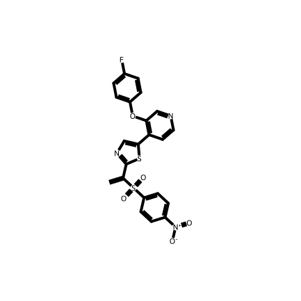 C=C(c1ncc(-c2ccncc2Oc2ccc(F)cc2)s1)S(=O)(=O)c1ccc([N+](=O)[O-])cc1